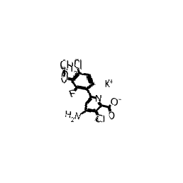 COc1c(Cl)ccc(-c2cc(N)c(Cl)c(C(=O)[O-])n2)c1F.[K+]